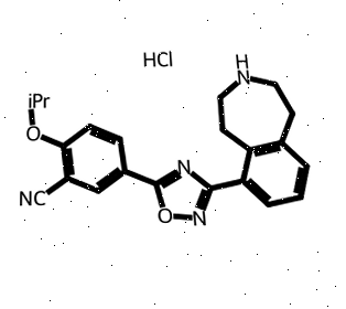 CC(C)Oc1ccc(-c2nc(-c3cccc4c3CCNCC4)no2)cc1C#N.Cl